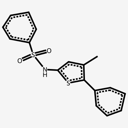 Cc1cc(NS(=O)(=O)c2ccccc2)sc1-c1ccccc1